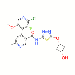 COc1cnc(Cl)c(F)c1-c1cc(C)ncc1C(=O)Nc1nnc(O[C@H]2C[C@@H](O)C2)s1